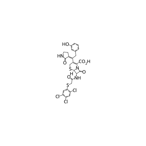 O=C(CSc1cc(Cl)c(Cl)cc1Cl)N[C@@H]1C(=O)N2C(C(=O)O)=C(C(Cc3cccc(O)c3)=C3CCNC3=O)CS[C@H]12